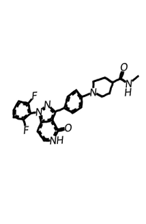 CNC(=O)C1CCN(c2ccc(-c3nn(-c4c(F)cccc4F)c4cc[nH]c(=O)c34)cc2)CC1